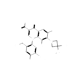 CNC1(C)CN(c2c(F)cc3c(=O)c(C(=O)O)cn(-c4cc(N)c(F)cc4CO)c3c2Br)C1